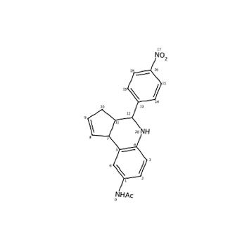 CC(=O)Nc1ccc2c(c1)C1C=CCC1C(c1ccc([N+](=O)[O-])cc1)N2